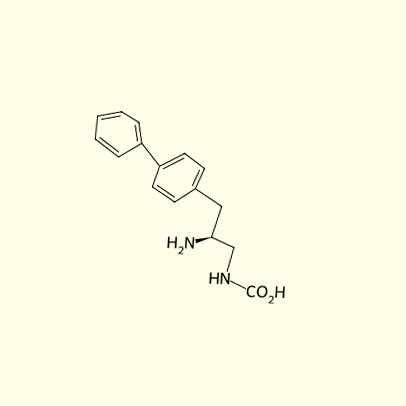 N[C@H](CNC(=O)O)Cc1ccc(-c2ccccc2)cc1